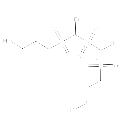 CCC(S(=O)(=O)CCCO)S(=O)(=O)C(CC)S(=O)(=O)CCCO